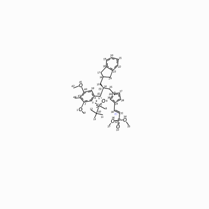 COc1cc([C@@H](O[Si](C)(C)C(C)(C)C)[C@@H](CC2Cc3ccccc3C2)Cn2ccc(/C=C/P(=O)(OC)OC)c2)cc(OC)c1C